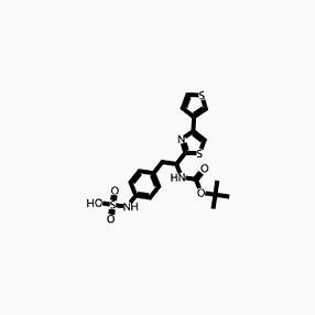 CC(C)(C)OC(=O)NC(Cc1ccc(NS(=O)(=O)O)cc1)c1nc(-c2ccsc2)cs1